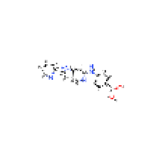 COC(=O)c1ccc(Nc2cc3[nH]c(-c4ccccn4)cc3cn2)cc1